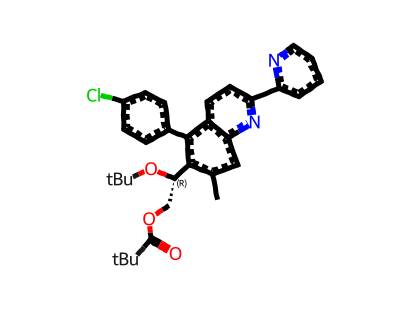 Cc1cc2nc(-c3ccccn3)ccc2c(-c2ccc(Cl)cc2)c1[C@H](COC(=O)C(C)(C)C)OC(C)(C)C